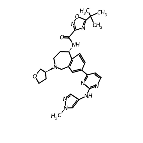 Cn1cc(Nc2nccc(-c3ccc4c(c3)CN([C@H]3CCOC3)CC[C@@H]4NC(=O)c3noc(C(C)(C)C)n3)n2)cn1